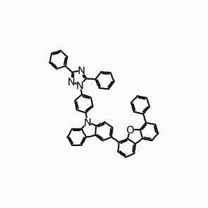 c1ccc(-c2nc(-c3ccccc3)n(-c3ccc(-n4c5ccccc5c5cc(-c6cccc7c6oc6c(-c8ccccc8)cccc67)ccc54)cc3)n2)cc1